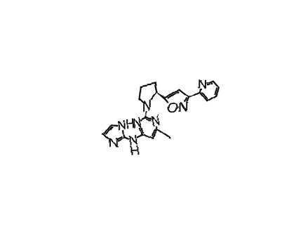 Cc1cc(Nc2ncc[nH]2)nc(N2CCC[C@H]2c2cc(-c3ccccn3)no2)n1